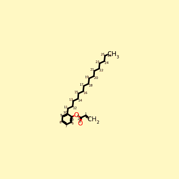 C=CC(=O)Oc1ccccc1CCCCCCCCCCCCCCCC